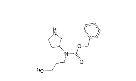 O=C(OCc1ccccc1)N(CCCO)C1CCNC1